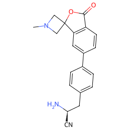 CN1CC2(C1)OC(=O)c1ccc(-c3ccc(C[C@H](N)C#N)cc3)cc12